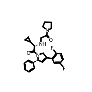 O=C(CN[C@H](C(=O)N1CC(c2cc(F)ccc2F)=C[C@H]1c1ccccc1)C1CC1)N1CCCC1